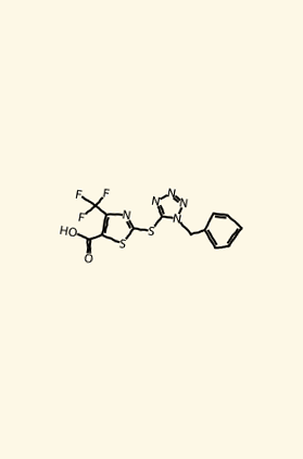 O=C(O)c1sc(Sc2nnnn2Cc2ccccc2)nc1C(F)(F)F